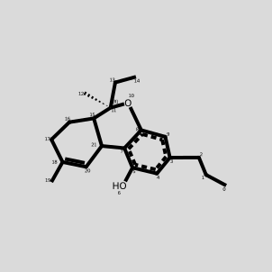 CCCc1cc(O)c2c(c1)O[C@](C)(CC)C1CCC(C)=CC21